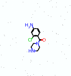 Nc1ccc(C(=O)N2CCNCC2)c(Cl)c1